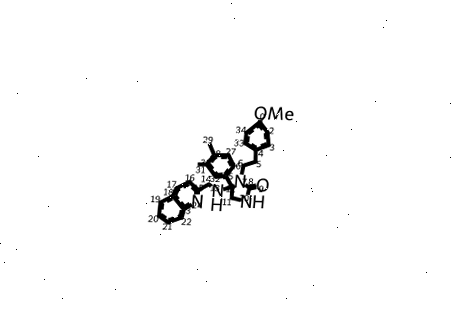 COc1ccc(CCN2C(=O)NCC2(NCc2ccc3ccccc3n2)c2ccc(C)c(C)c2)cc1